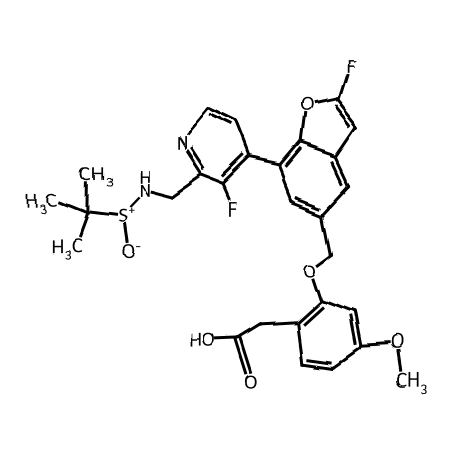 COc1ccc(CC(=O)O)c(OCc2cc(-c3ccnc(CN[S+]([O-])C(C)(C)C)c3F)c3oc(F)cc3c2)c1